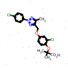 Cc1nn(-c2ccc(Cl)cc2)nc1COc1ccc(OC(C)(C)C(=O)O)c(Cl)c1